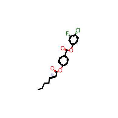 CCCC/C=C/C(=O)Oc1ccc(C(=O)Oc2ccc(Cl)c(F)c2)cc1